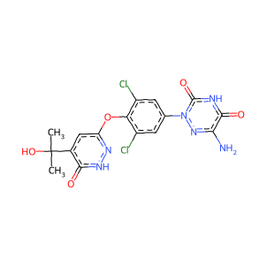 CC(C)(O)c1cc(Oc2c(Cl)cc(-n3nc(N)c(=O)[nH]c3=O)cc2Cl)n[nH]c1=O